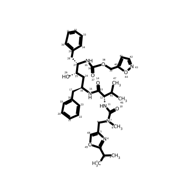 CC(C)c1nc(CN(C)C(=O)N[C@H](C(=O)N[C@@H](Cc2ccccc2)C[C@H](O)[C@H](Cc2ccccc2)NC(=O)OCc2ccno2)C(C)C)co1